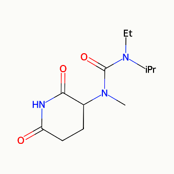 CCN(C(=O)N(C)C1CCC(=O)NC1=O)C(C)C